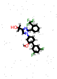 COc1cc(-n2cc(C(C)(C)O)nc2-c2ccccc2C(F)(F)F)ccc1-c1cc(F)cc(F)c1